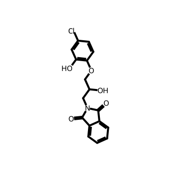 O=C1c2ccccc2C(=O)N1CC(O)COc1ccc(Cl)cc1O